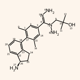 Cc1cc(/C(=N/N)N(N)CC(C)(C)O)cc(C)c1-c1cccc2c1CC[C@H]2N